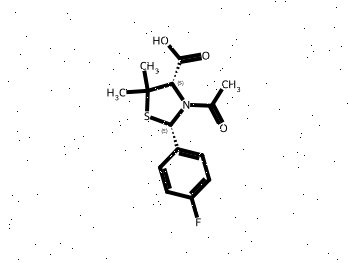 CC(=O)N1[C@@H](C(=O)O)C(C)(C)S[C@H]1c1ccc(F)cc1